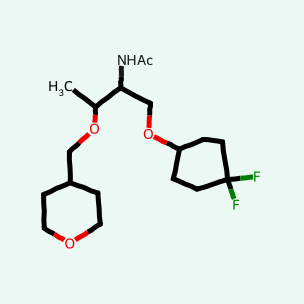 CC(=O)NC(COC1CCC(F)(F)CC1)C(C)OCC1CCOCC1